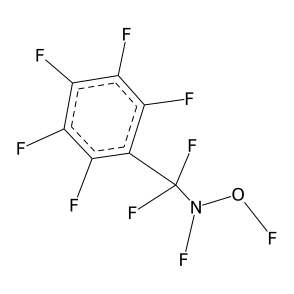 FON(F)C(F)(F)c1c(F)c(F)c(F)c(F)c1F